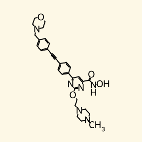 CN1CCN(CCOc2nc(C(=O)NO)cc(-c3ccc(C#Cc4ccc(CN5CCOCC5)cc4)cc3)n2)CC1